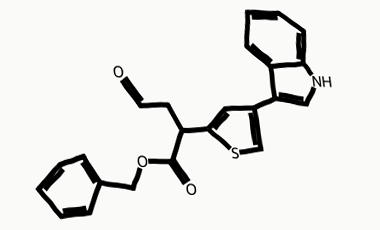 O=CCC(C(=O)OCc1ccccc1)c1cc(-c2c[nH]c3ccccc23)cs1